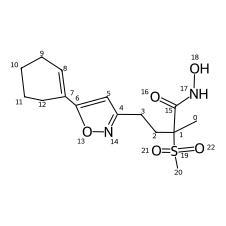 CC(CCc1cc(C2=CCCCC2)on1)(C(=O)NO)S(C)(=O)=O